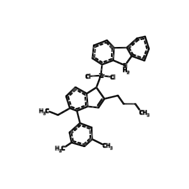 CCCCC1=Cc2c(ccc(CC)c2-c2cc(C)cc(C)c2)[CH]1[Zr]([Cl])([Cl])[c]1cccc2c1[SiH2]c1ccccc1-2